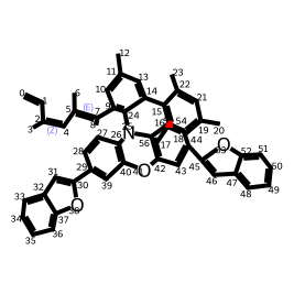 C=C/C(C)=C\C(C)=C(/C)c1cc(C)cc(-c2c(C)cc(C)cc2C)c1N1c2ccc(-c3cc4ccccc4o3)cc2Oc2cc(-c3cc4ccccc4o3)ccc21